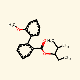 CCC(OC(=O)c1ccccc1-c1ccccc1OC)C(C)C